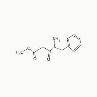 COC(=O)CC(=O)C(N)Cc1ccccc1